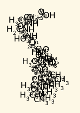 C=C[C@@H](NC(=O)[C@H](NC(=O)CCCC(=O)O)C(C)C)C(O)Nc1ccc(CONC(=O)[C@H](Cc2ccccc2)NC(=O)[C@H](C)[C@@H](OC)[C@@H]2CCCN2C(=O)C[C@@H](OC)[C@H]([C@@H](C)CC)N(C)C(=O)[C@@H](NC(=O)[C@H](C(C)C)N(C)C)C(C)C)cc1